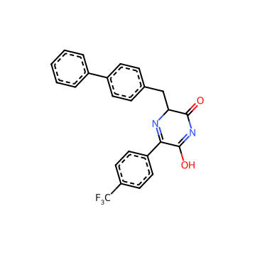 O=C1N=C(O)C(c2ccc(C(F)(F)F)cc2)=NC1Cc1ccc(-c2ccccc2)cc1